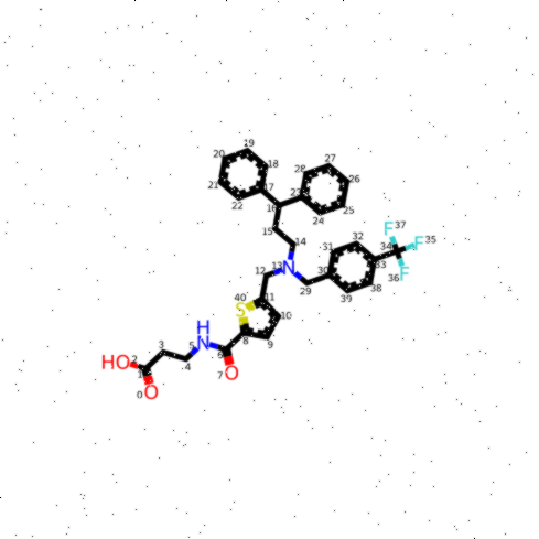 O=C(O)CCNC(=O)c1ccc(CN(CCC(c2ccccc2)c2ccccc2)Cc2ccc(C(F)(F)F)cc2)s1